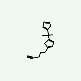 C#CCCCC1=CC=C(C(C)(C)C2=CC=CC2)C1